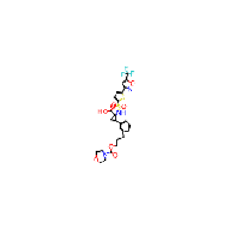 O=C(OCCCc1cccc(C2CC2(NS(=O)(=O)c2ccc(-c3cc(C(F)(F)F)on3)s2)C(=O)O)c1)N1CCOCC1